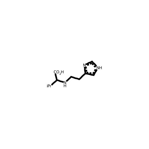 CC(C)C(NCCc1c[nH]cn1)C(=O)O